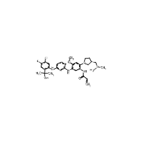 C=CC(=O)Nc1cc(Nc2nccc(Nc3cc(Cl)c(F)cc3C(C)(C)O)n2)c(OC)cc1N1CC[C@@H](CN(C)C)C1